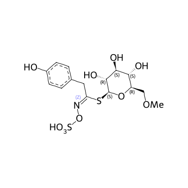 COC[C@H]1O[C@@H](S/C(Cc2ccc(O)cc2)=N\OS(=O)(=O)O)[C@H](O)[C@@H](O)[C@@H]1O